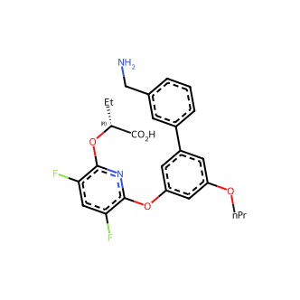 CCCOc1cc(Oc2nc(O[C@H](CC)C(=O)O)c(F)cc2F)cc(-c2cccc(CN)c2)c1